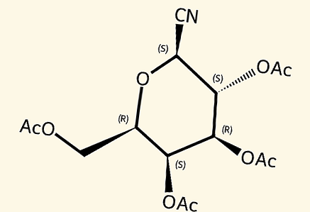 CC(=O)OC[C@H]1O[C@@H](C#N)[C@H](OC(C)=O)[C@@H](OC(C)=O)[C@H]1OC(C)=O